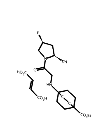 CCOC(=O)C12CCC(NCC(=O)N3C[C@@H](F)C[C@H]3C#N)(CC1)CC2.O=C(O)C=CC(=O)O